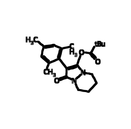 Cc1cc(C)c(-c2c(OC(=O)C(C)(C)C)n3n(c2=O)CCCC3)c(C)c1